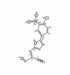 N#C/C([C]=O)=C\c1ccc(-c2ccc(Cl)c([N+](=O)[O-])c2)o1